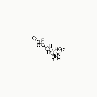 C=C(C)[C@@H]1CC[C@]2(NCCC3(O)CCC3)CC[C@]3(C)[C@H](CC[C@@H]4[C@@]5(C)CC=C(C6=CC[C@](CF)(C(=O)OCc7ccccc7)CC6)C(C)(C)[C@@H]5CC[C@]43C)[C@@H]12